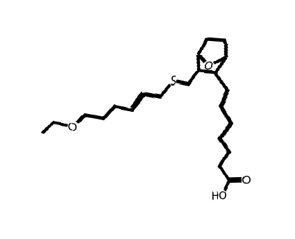 CCOCCCC=CCSCC1C2CCC(O2)C1CCCCCCC(=O)O